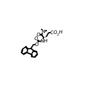 CN(C)C(=O)[C@H](CCC(=O)O)NC(=O)OCC1c2ccccc2-c2ccccc21